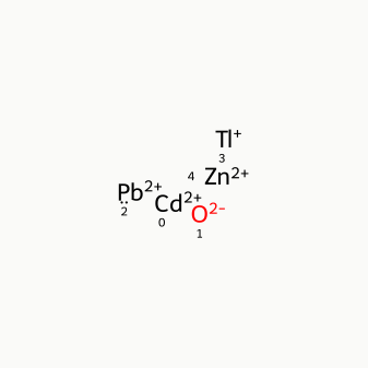 [Cd+2].[O-2].[Pb+2].[Tl+].[Zn+2]